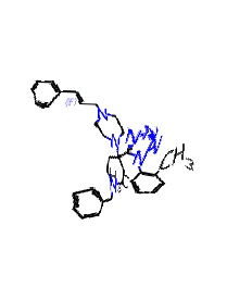 Cc1cccc(C)c1-n1nnnc1C1(N2CCN(C/C=C/c3ccccc3)CC2)CCN(Cc2ccccc2)CC1